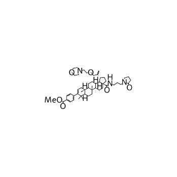 C=C(COCCN1CCOCC1)[C@@H]1CC[C@]2(C(=O)NCCCN3CCCC3=O)CC[C@]3(C)[C@H](CC[C@@H]4[C@@]5(C)CC=C(c6ccc(C(=O)OC)cc6)C(C)(C)[C@@H]5CC[C@]43C)[C@@H]12